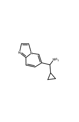 NC(c1ccc2nccn2c1)C1CC1